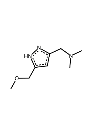 COCc1cc(CN(C)C)n[nH]1